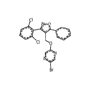 Clc1cccc(Cl)c1-c1noc(-c2ccccc2)c1COc1cnc(Br)cn1